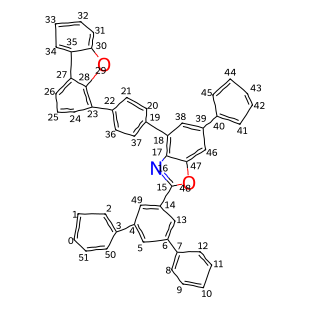 c1ccc(-c2cc(-c3ccccc3)cc(-c3nc4c(-c5ccc(-c6cccc7c6oc6ccccc67)cc5)cc(-c5ccccc5)cc4o3)c2)cc1